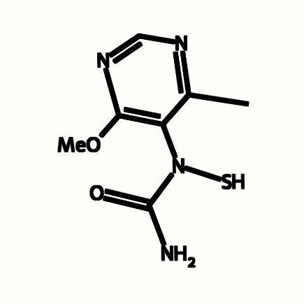 COc1ncnc(C)c1N(S)C(N)=O